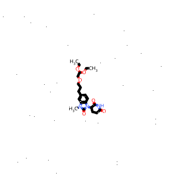 CCOC(COCCCc1ccc2c(c1)n(C)c(=O)n2C1CCC(=O)NC1=O)OCC